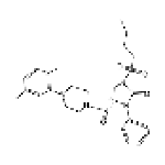 CCCCS(=O)(=O)N1C[C@@H](C(=O)N2CCN(c3cc(C)ccc3C)CC2)N(c2ccccc2)C1=O